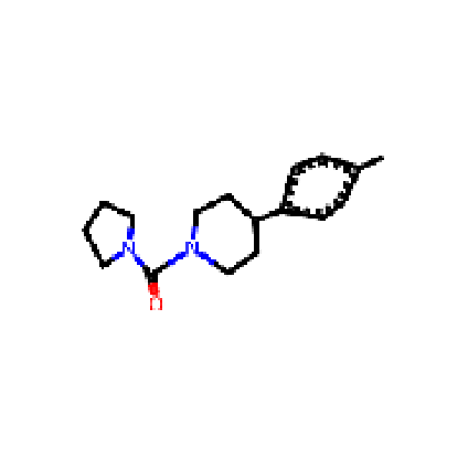 Cc1ccc(C2CCN(C(=O)N3CCCC3)CC2)cc1